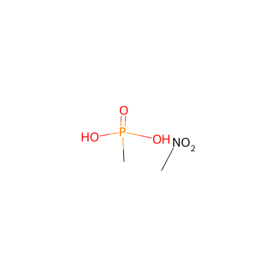 CP(=O)(O)O.C[N+](=O)[O-]